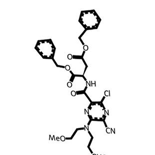 COCCN(CCC=O)c1nc(C(=O)N[C@H](CC(=O)OCc2ccccc2)C(=O)OCc2ccccc2)c(Cl)nc1C#N